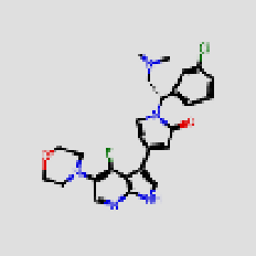 CN(C)C[C@H](c1cccc(Cl)c1)n1ccc(-c2c[nH]c3ncc(N4CCOCC4)c(F)c23)cc1=O